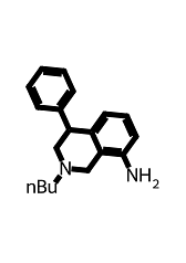 CCCCN1Cc2c(N)cccc2C(c2ccccc2)C1